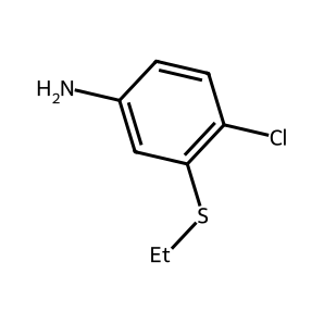 CCSc1cc(N)ccc1Cl